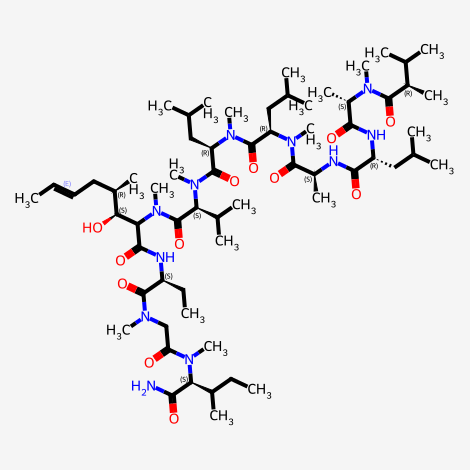 C/C=C/C[C@@H](C)[C@H](O)C(C(=O)N[C@@H](CC)C(=O)N(C)CC(=O)N(C)[C@H](C(N)=O)C(C)CC)N(C)C(=O)[C@H](C(C)C)N(C)C(=O)[C@@H](CC(C)C)N(C)C(=O)[C@@H](CC(C)C)N(C)C(=O)[C@H](C)NC(=O)[C@@H](CC(C)C)NC(=O)[C@H](C)N(C)C(=O)[C@H](C)C(C)C